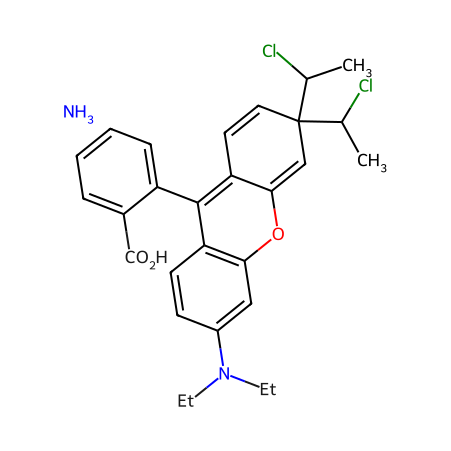 CCN(CC)c1ccc2c(c1)OC1=CC(C(C)Cl)(C(C)Cl)C=CC1=C2c1ccccc1C(=O)O.N